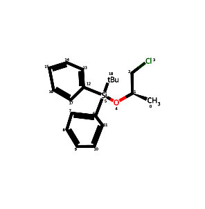 C[C@H](CCl)O[Si](c1ccccc1)(c1ccccc1)C(C)(C)C